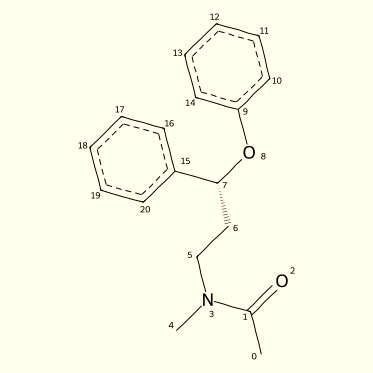 CC(=O)N(C)CC[C@@H](Oc1ccccc1)c1ccccc1